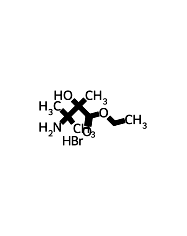 Br.CCOC(=O)C(C)(O)C(C)(C)N